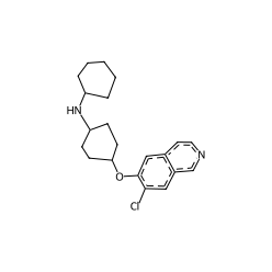 Clc1cc2cnccc2cc1OC1CCC(NC2CCCCC2)CC1